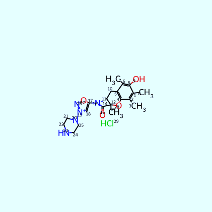 Cc1c(C)c2c(c(C)c1O)CCC(C)(C(=O)[N-]c1c[n+](N3CCNCC3)no1)O2.Cl